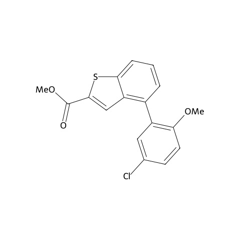 COC(=O)c1cc2c(-c3cc(Cl)ccc3OC)cccc2s1